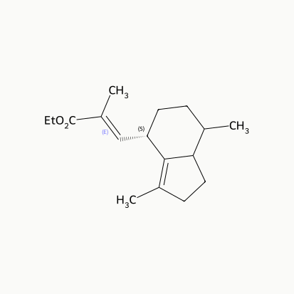 CCOC(=O)/C(C)=C/[C@@H]1CCC(C)C2CCC(C)=C21